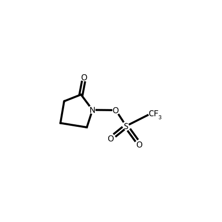 O=C1CCCN1OS(=O)(=O)C(F)(F)F